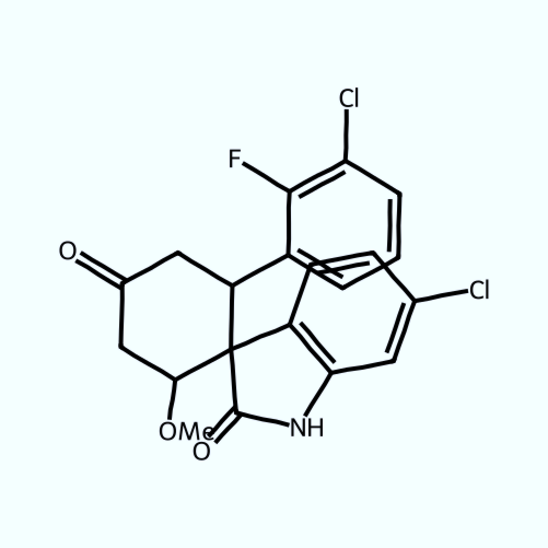 COC1CC(=O)CC(c2cccc(Cl)c2F)C12C(=O)Nc1cc(Cl)ccc12